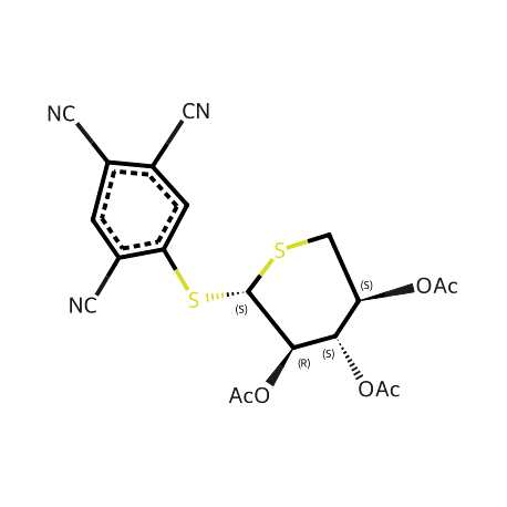 CC(=O)O[C@@H]1[C@@H](OC(C)=O)[C@H](Sc2cc(C#N)c(C#N)cc2C#N)SC[C@H]1OC(C)=O